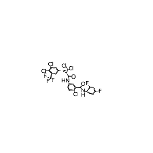 O=C(Nc1ccc(F)cc1F)c1cc(NC(=O)[C@H]2[C@@H](c3cc(Cl)c(Cl)c(C(F)(F)F)c3)C2(Cl)Cl)ccc1Cl